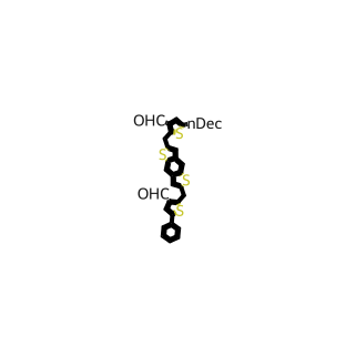 CCCCCCCCCCc1cc(C=O)c(Cc2cc3cc4sc(Cc5sc(-c6ccccc6)cc5C=O)cc4cc3s2)s1